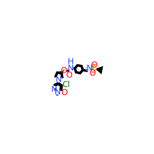 Cn1ncc(N2CC[C@@H](OC(=O)NC3CCC(/C=N/S(=O)(=O)C4CC4)CC3)C2)c(Cl)c1=O